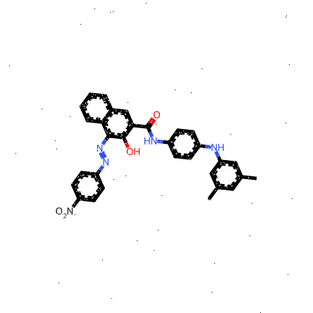 Cc1cc(C)cc(Nc2ccc(NC(=O)c3cc4ccccc4c(/N=N/c4ccc([N+](=O)[O-])cc4)c3O)cc2)c1